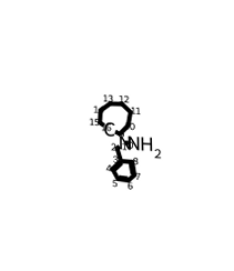 NN(Cc1ccccc1)C1CCCCCCC1